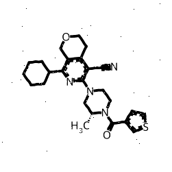 C[C@@H]1CN(c2nc(C3CCCCC3)c3c(c2C#N)CCOC3)CCN1C(=O)c1ccsc1